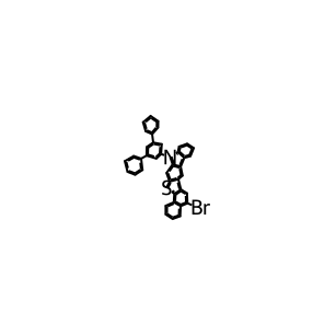 Brc1cc2c3cc4c5ccccc5n(-c5cc(-c6ccccc6)cc(-c6ccccc6)c5)c4cc3sc2c2ccccc12